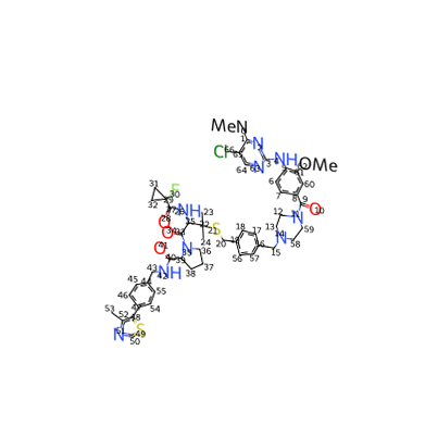 CNc1nc(Nc2ccc(C(=O)N3CCN(Cc4ccc(CSC(C)(C)[C@H](NC(=O)C5(F)CC5)C(=O)N5CCCC5C(=O)NCc5ccc(-c6scnc6C)cc5)cc4)CC3)cc2OC)ncc1Cl